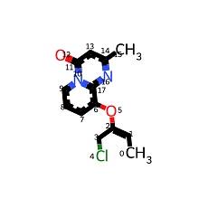 CC=C(CCl)Oc1cccn2c(=O)cc(C)nc12